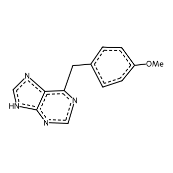 COc1ccc(Cc2ncnc3[nH]cnc23)cc1